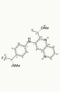 CN[C@@H](c1ccc(Nc2cc3ncccc3nc2[C@H](C)OC)cc1)C(F)(F)F